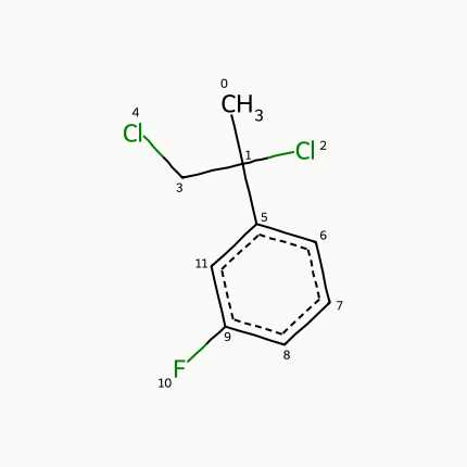 CC(Cl)(CCl)c1cccc(F)c1